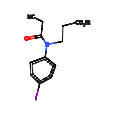 CCOC(=O)CCN(C(=O)CC#N)c1ccc(I)cc1